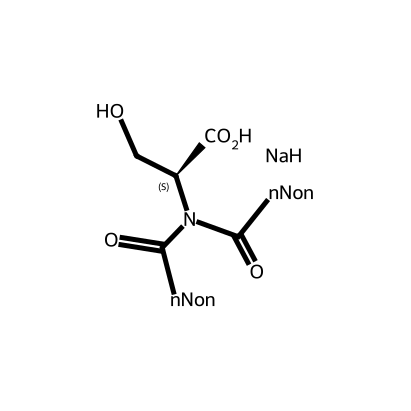 CCCCCCCCCC(=O)N(C(=O)CCCCCCCCC)[C@@H](CO)C(=O)O.[NaH]